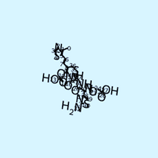 Cc1ncsc1C=CC1=C(OC(=O)O)N2C(=O)C(NC(=O)C(=NOCC(=O)O)c3csc(N)n3)[C@@H]2SC1